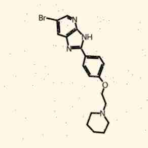 Brc1cnc2[nH]c(-c3ccc(OCCN4CCCCC4)cc3)nc2c1